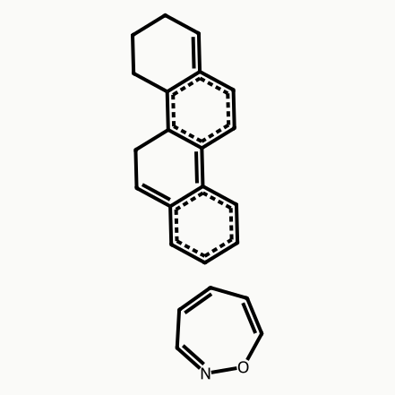 C1=CC=NOC=C1.C1=c2ccc3c(c2CCC1)CC=c1ccccc1=3